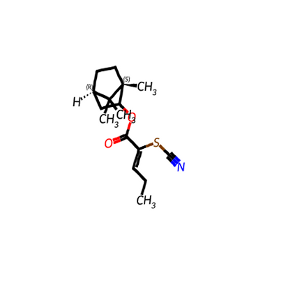 CCC=C(SC#N)C(=O)OC1C[C@H]2CC[C@@]1(C)C2(C)C